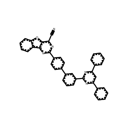 N#Cc1nc(-c2ccc(-c3cccc(-c4nc(-c5ccccc5)cc(-c5ccccc5)n4)c3)cc2)nc2c1oc1ccccc12